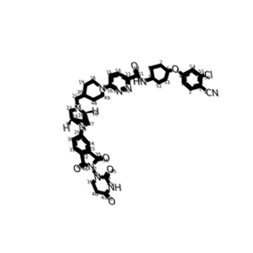 N#Cc1ccc(OC2CCC(NC(=O)c3ccc(N4CCC(CN5C[C@@H]6C[C@H]5CN6c5ccc6c(c5)C(=O)N(N5CCC(=O)NC5=O)C6=O)CC4)nn3)CC2)cc1Cl